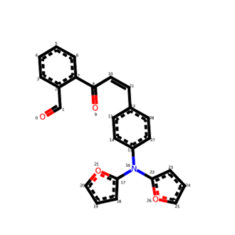 O=Cc1ccccc1C(=O)/C=C\c1ccc(N(c2ccco2)c2ccco2)cc1